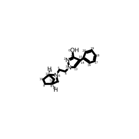 Oc1nn(CCN2C[C@H]3CC[C@@H]2C3)cc1-c1ccccc1